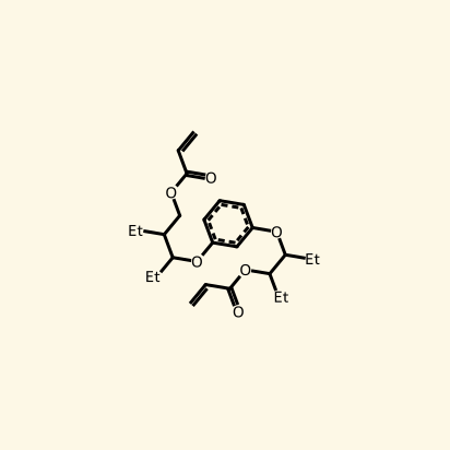 C=CC(=O)OCC(CC)C(CC)Oc1cccc(OC(CC)C(CC)OC(=O)C=C)c1